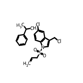 C=CCS(=O)(=O)n1cc(CCl)c2cc(Cl)ccc21.CC(C)c1ccccc1